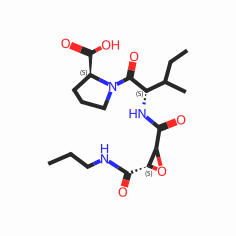 CCCNC(=O)[C@H]1OC1C(=O)N[C@H](C(=O)N1CCC[C@H]1C(=O)O)C(C)CC